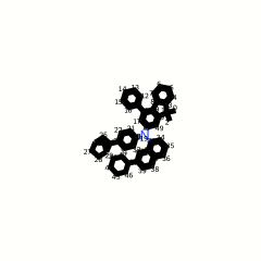 CC1(C)c2ccccc2-c2c(-c3ccccc3)cc(N(c3ccc(C4CC5CCC4C5)cc3)c3cccc4ccc(C5CCCCC5)cc34)cc21